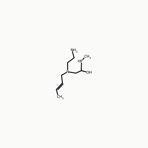 C/C=C/CN(CCN)CC(O)PC